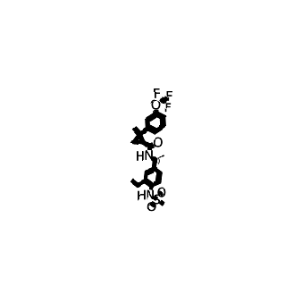 CCc1cc([C@@H](C)NC(=O)C2CC2(C)c2cccc(OC(F)(F)F)c2)ccc1NS(C)(=O)=O